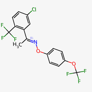 C/C(=N\Oc1ccc(OC(F)(F)F)cc1)c1cc(Cl)ccc1C(F)(F)F